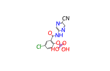 N#Cc1cnc(NC(=O)c2cc(Cl)ccc2OP(=O)(O)O)cn1